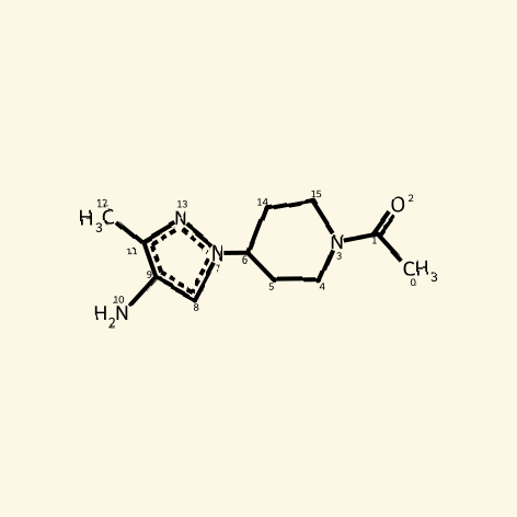 CC(=O)N1CCC(n2cc(N)c(C)n2)CC1